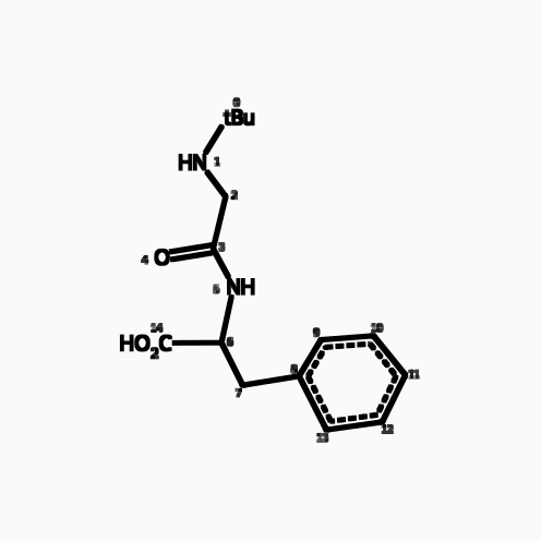 CC(C)(C)NCC(=O)NC(Cc1ccccc1)C(=O)O